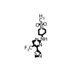 CS(=O)(=O)N1CCC(Nc2ncc(C(F)(F)F)c(-c3cncs3)n2)CC1